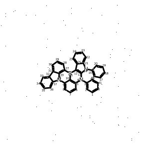 c1ccc(N2c3cccc4c3B(c3c2n(-c2ccccc2)c2ccccc32)c2cccc3c5ccccc5n-4c23)cc1